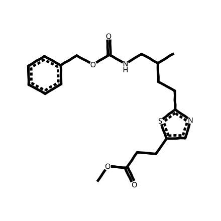 COC(=O)CCc1cnc(CCC(C)CNC(=O)OCc2ccccc2)s1